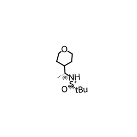 C[C@@H](N[S@@+]([O-])C(C)(C)C)C1CCOCC1